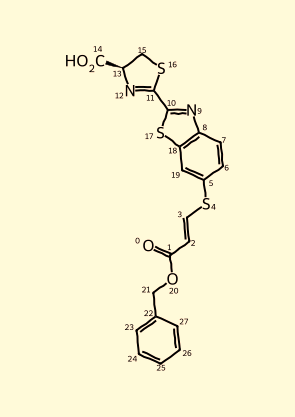 O=C(/C=C/Sc1ccc2nc(C3=N[C@@H](C(=O)O)CS3)sc2c1)OCc1ccccc1